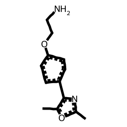 Cc1nc(-c2ccc(OCCN)cc2)c(C)o1